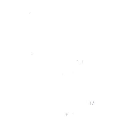 CC(=O)Sc1cccc2cc(NC(=O)CC[C@H](N)C(=O)O)cc(SC(C)=O)c12